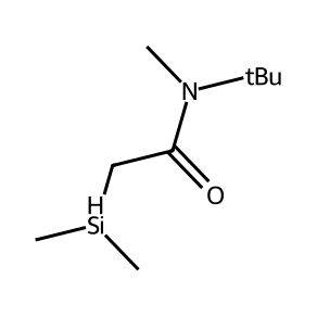 CN(C(=O)C[SiH](C)C)C(C)(C)C